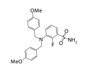 COc1ccc(CN(Cc2ccc(OC)cc2)c2cccc(S(N)(=O)=O)c2F)cc1